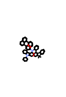 CC1(C)c2ccccc2-c2c(-c3ccccc3N(c3ccc(-c4cccc5cccc(-c6ccccc6)c45)cc3)c3cccc4c3c3ccccc3n4-c3ccccc3)cccc21